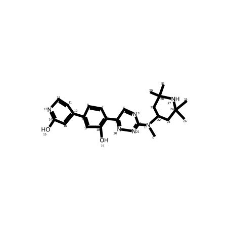 CN(c1ncc(-c2ccc(-c3ccnc(O)c3)cc2O)nn1)C1CC(C)(C)NC(C)(C)C1